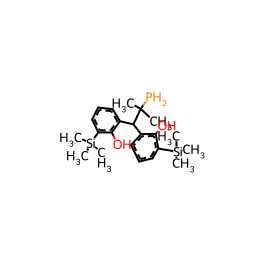 CC(C)(P)C(c1cccc([Si](C)(C)C)c1O)c1cccc([Si](C)(C)C)c1O